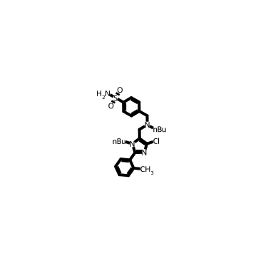 CCCCN(Cc1ccc(S(N)(=O)=O)cc1)Cc1c(Cl)nc(-c2ccccc2C)n1CCCC